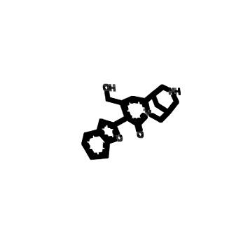 O=c1c(-c2cc3ccccc3o2)c(CO)cc2n1CC1CNCC2C1